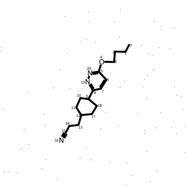 CCCCOc1ccc(C2CCC(CCC#N)CC2)nn1